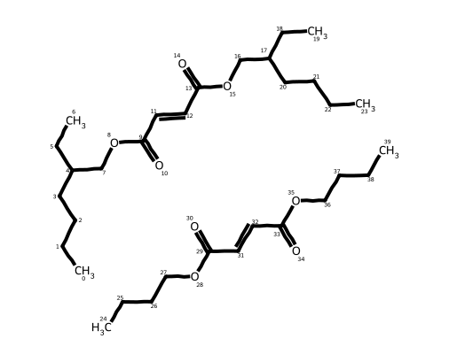 CCCCC(CC)COC(=O)C=CC(=O)OCC(CC)CCCC.CCCCOC(=O)C=CC(=O)OCCCC